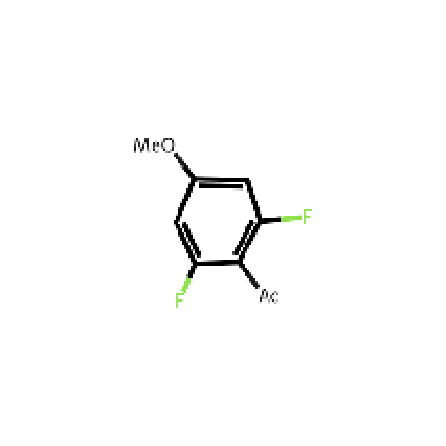 COc1cc(F)c(C(C)=O)c(F)c1